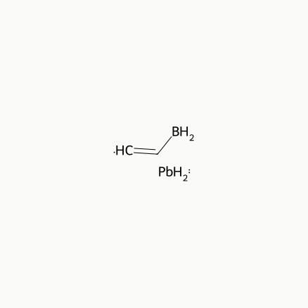 BC=[CH].[PbH2]